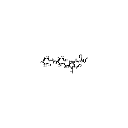 COC(=O)c1ccc2[nH]c(Cc3cccc(OCc4ccccc4)c3)nc2c1